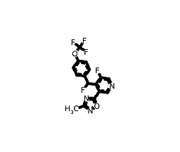 Cc1noc(-c2cncc(F)c2C(F)c2ccc(OC(F)(F)F)cc2)n1